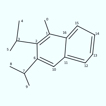 Cc1c(C(C)C)c(C(C)C)cc2ccccc12